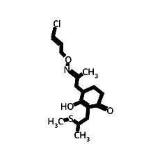 CSC(C)CC1=C(O)C(C/C(C)=N/OCC=CCl)CCC1=O